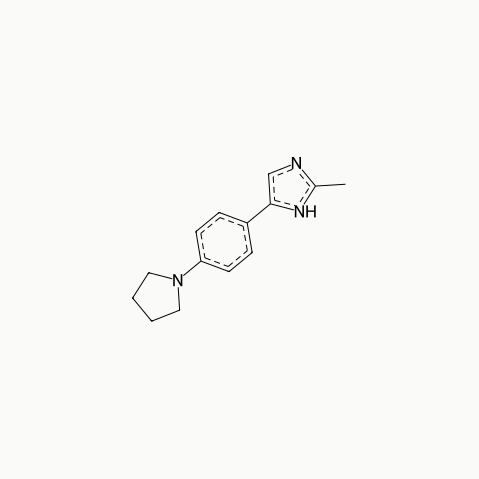 Cc1ncc(-c2ccc(N3CCCC3)cc2)[nH]1